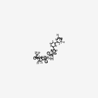 Cc1cc(-c2cccc(-c3csc(NC(=O)CNC(=O)c4cc(C)n([S+]([O-])C(C)C)c4)n3)c2)cc(C)n1